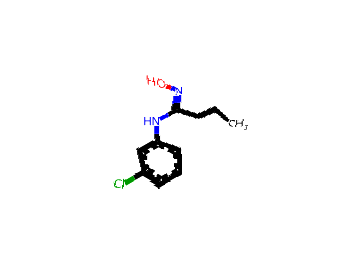 CCC/C(=N/O)Nc1cccc(Cl)c1